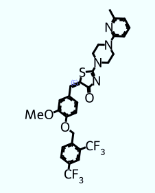 COc1cc(/C=C2/SC(N3CCN(c4cccc(C)n4)CC3)=NC2=O)ccc1OCc1ccc(C(F)(F)F)cc1C(F)(F)F